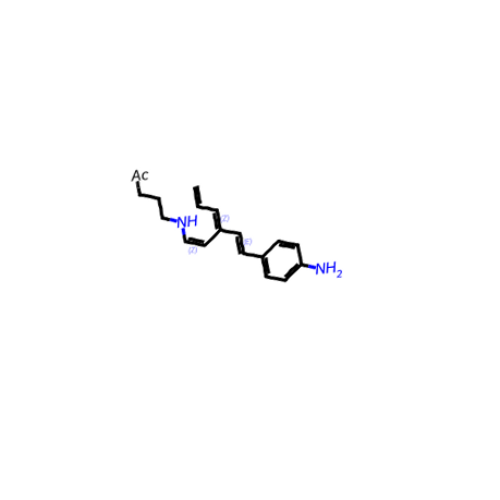 C=C/C=C(\C=C/NCCCC(C)=O)/C=C/c1ccc(N)cc1